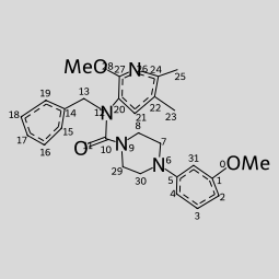 COc1cccc(N2CCN(C(=O)N(Cc3ccccc3)c3cc(C)c(C)nc3OC)CC2)c1